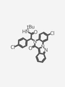 CC(C)(C)NC(=O)C(c1ccc(Cl)cc1)n1c(=O)c2c3ccccc3nn2c2cc(Cl)ccc21